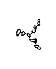 c1ccc(-c2ccc(-c3cc(-c4ccc(-c5ccc6ccccc6c5)cc4)cc(-c4ccc(-c5ccc6ccccc6c5)nc4)c3)cc2)cc1